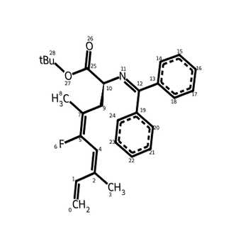 C=C/C(C)=C\C(F)=C(\C)C[C@H](N=C(c1ccccc1)c1ccccc1)C(=O)OC(C)(C)C